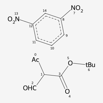 CC(=O)C(C=O)C(=O)OC(C)(C)C.O=[N+]([O-])c1cccc([N+](=O)[O-])c1